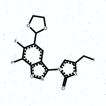 O=c1sc(CI)cn1-c1noc2c(F)c(F)c(C3OCCO3)cc12